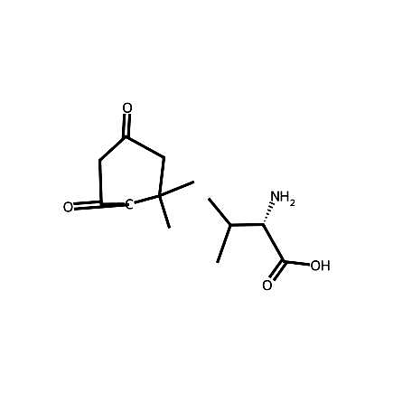 CC(C)[C@H](N)C(=O)O.CC1(C)CC(=O)CC(=O)C1